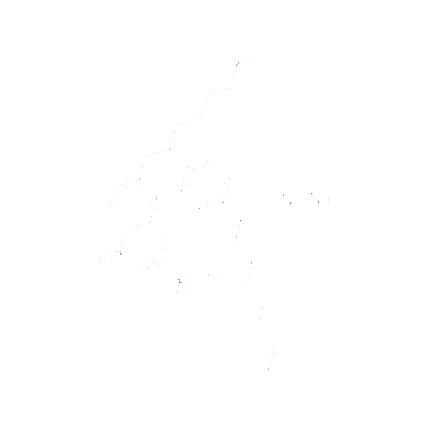 CCCCCCCCCc1ccc(C(CCCCC(=O)[O-])Oc2ccc3c(=O)cc(C(=O)[O-])oc3c2)cc1.[Na+].[Na+]